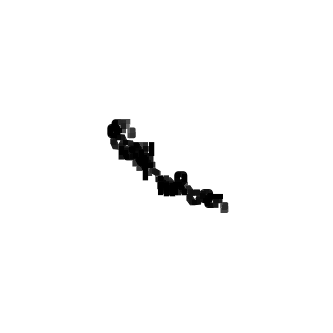 O=C(Cc1cc(OC(F)(F)F)ccc1F)Nc1cn(CC(F)CCn2cc(C(=O)NCc3cccc(OC(F)(F)F)c3)nn2)nn1